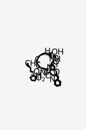 C=CCCC[C@@H]1CCC[C@H]1OC(=O)N[C@H]1CCCCCC=C[C@@H]2C[C@@]2(C(=O)O)NC(=O)[C@@H]2C[C@@H](Oc3cc4ccccc4nc3C=C)CN2C1=O